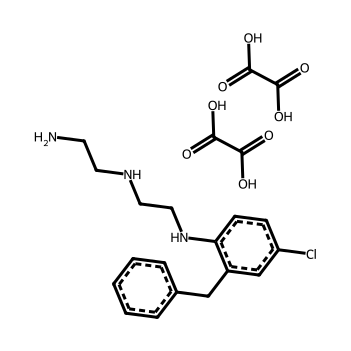 NCCNCCNc1ccc(Cl)cc1Cc1ccccc1.O=C(O)C(=O)O.O=C(O)C(=O)O